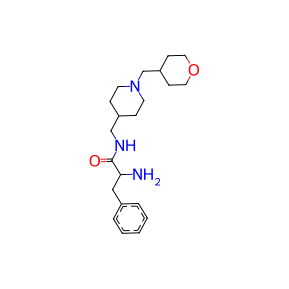 NC(Cc1ccccc1)C(=O)NCC1CCN(CC2CCOCC2)CC1